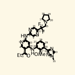 CCC(=O)c1cnc(Nc2cnc(C(F)(F)CN3CCCC3)cn2)cc1Nc1cccc(-c2ncn(C)n2)c1OC